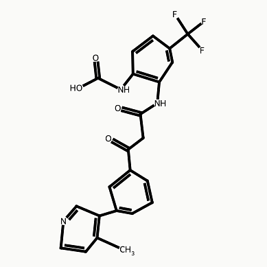 Cc1ccncc1-c1cccc(C(=O)CC(=O)Nc2cc(C(F)(F)F)ccc2NC(=O)O)c1